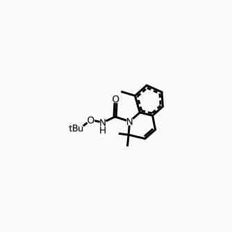 Cc1cccc2c1N(C(=O)NOC(C)(C)C)C(C)(C)C=C2